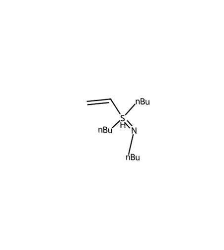 C=C[SH](CCCC)(CCCC)=NCCCC